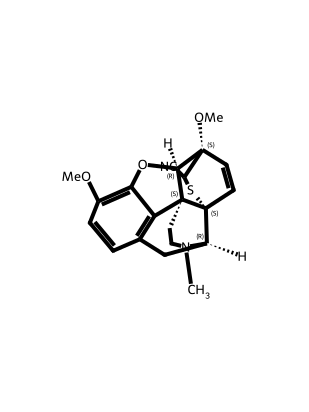 COc1ccc2c3c1O[C@@H]1[C@]34CCN(C)[C@H](C2)[C@]42C=C[C@@]1(OC)C(C#N)S2